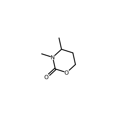 CC1CCOC(=O)N1C